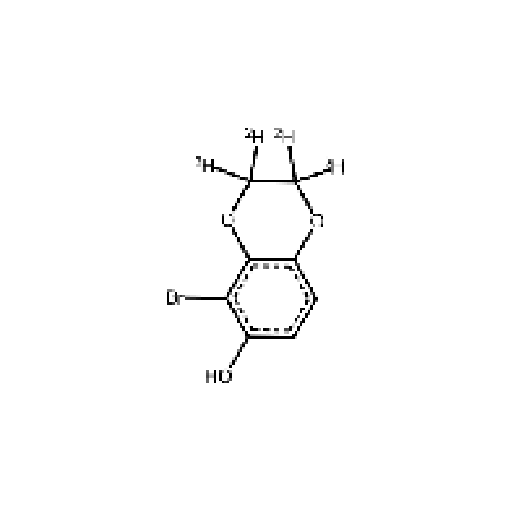 [2H]C1([2H])Oc2ccc(O)c(Br)c2OC1([2H])[2H]